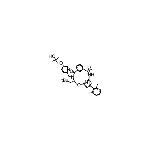 Cc1cccc(C)c1-c1cc2nc(n1)NS(=O)(=O)c1cccc(c1)C(=O)N(Cc1ccc(OCC(C)(C)O)cn1)[C@H](CC(C)(C)C)CO2